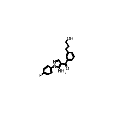 Nc1c(C(=O)c2cccc(CCCO)c2)cnn1-c1ccc(F)cc1